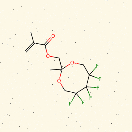 C=C(C)C(=O)OCC1(C)OCC(F)(F)C(F)(F)C(F)(F)CO1